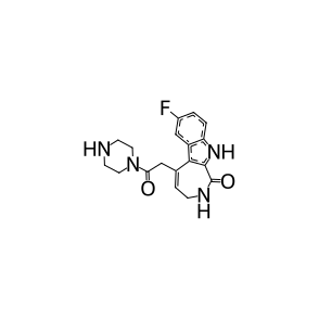 O=C1NCC=C(CC(=O)N2CCNCC2)c2c1[nH]c1ccc(F)cc21